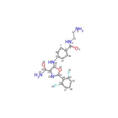 NCCNC(=O)c1ccc(Nc2oc(-c3c(F)cccc3F)nc2C(N)=O)cc1